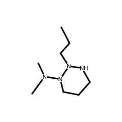 CCCN1NCCCN1N(C)C